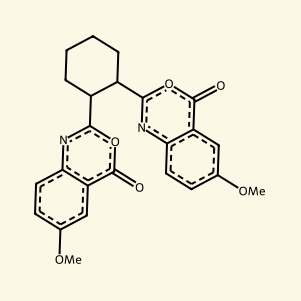 COc1ccc2nc(C3CCCCC3c3nc4ccc(OC)cc4c(=O)o3)oc(=O)c2c1